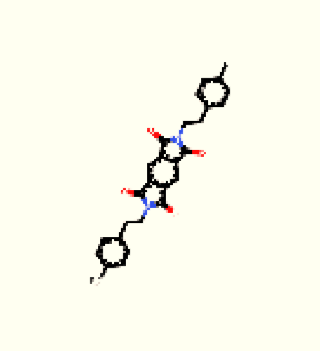 Cc1ccc(CCn2c(=O)c3cc4c(=O)n(CCc5ccc(C(F)(F)F)cc5)c(=O)c4cc3c2=O)cc1